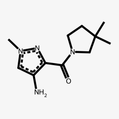 Cn1cc(N)c(C(=O)N2CCC(C)(C)C2)n1